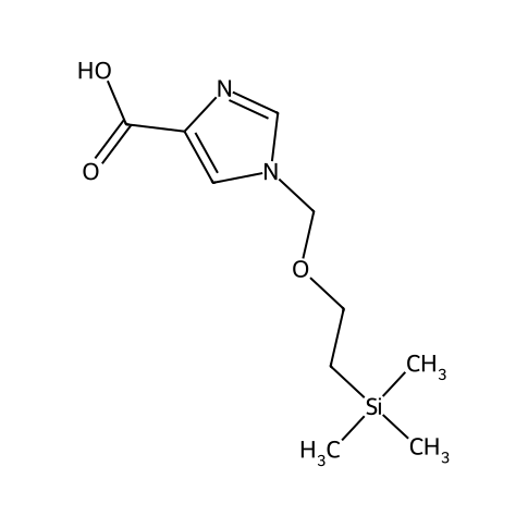 C[Si](C)(C)CCOCn1cnc(C(=O)O)c1